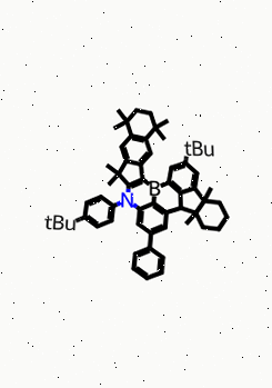 CC(C)(C)c1ccc(N2C3=C(B4c5cc(C(C)(C)C)cc6c5C(c5cc(-c7ccccc7)cc2c54)C2(C)CCCCC62C)c2cc4c(cc2C3(C)C)C(C)(C)CCC4(C)C)cc1